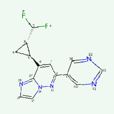 FC(F)[C@H]1C[C@@H]1c1cc(-c2cncnc2)nn2ccnc12